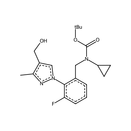 Cc1nn(-c2c(F)cccc2CN(C(=O)OC(C)(C)C)C2CC2)cc1CO